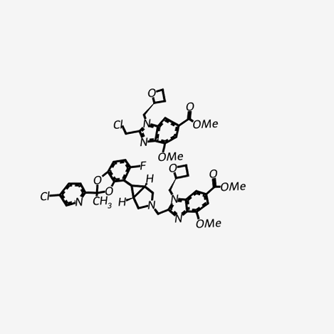 COC(=O)c1cc(OC)c2nc(CCl)n(C[C@@H]3CCO3)c2c1.COC(=O)c1cc(OC)c2nc(CN3C[C@@H]4C(c5c(F)ccc6c5OC(C)(c5ccc(Cl)cn5)O6)[C@@H]4C3)n(C[C@@H]3CCO3)c2c1